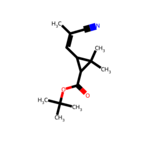 CC(C#N)=CC1C(C(=O)OC(C)(C)C)C1(C)C